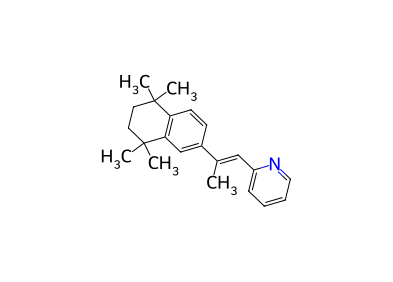 C/C(=C\c1ccccn1)c1ccc2c(c1)C(C)(C)CCC2(C)C